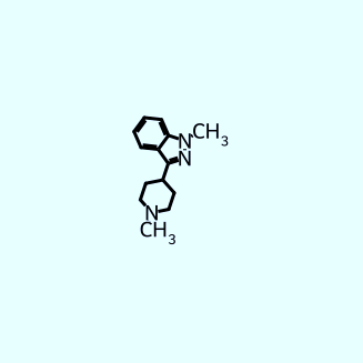 CN1CCC(c2nn(C)c3ccccc23)CC1